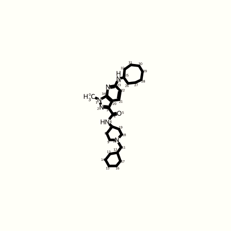 Cn1nc(C(=O)NC2CCN(CC3CCCCC3)CC2)c2ccc(NC3CCCCCCC3)nc21